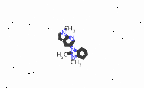 C=C1N(C)c2ccccc2N1c1cnc2c(c1)CCN2C